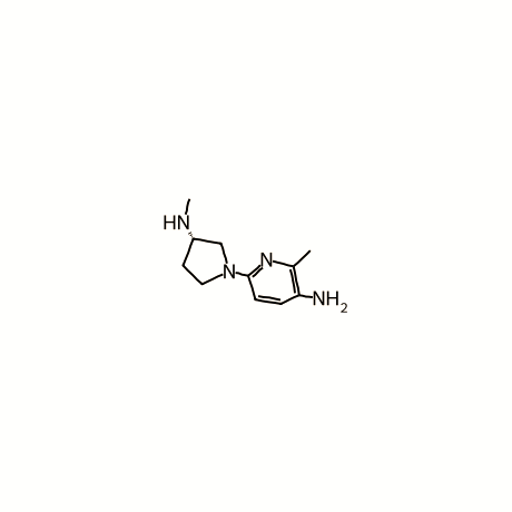 CN[C@H]1CCN(c2ccc(N)c(C)n2)C1